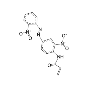 C=CC(=O)Nc1ccc(N=Nc2ccccc2[N+](=O)[O-])cc1[N+](=O)[O-]